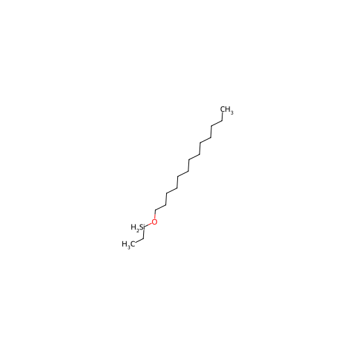 CCCCCCCCCCCCCO[SiH2]CC